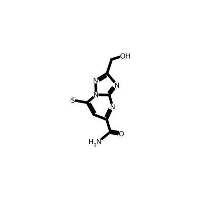 NC(=O)c1cc([S])n2nc(CO)nc2n1